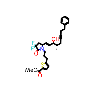 COC(=O)c1ccc(CCCN2C(=O)C(F)(F)CC2C=C[C@@H](O)[C@@H](C)CC#CCCc2ccccc2)s1